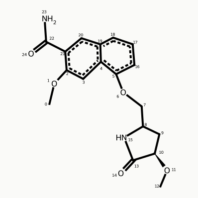 COc1cc2c(OCC3C[C@@H](OC)C(=O)N3)cccc2cc1C(N)=O